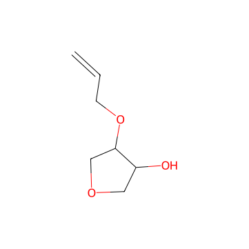 C=CCOC1COCC1O